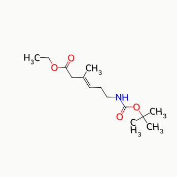 CCOC(=O)C/C(C)=C/CCNC(=O)OC(C)(C)C